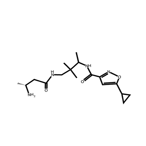 CC(NC(=O)c1cc(C2CC2)on1)C(C)(C)CNC(=O)C[C@@H](C)N